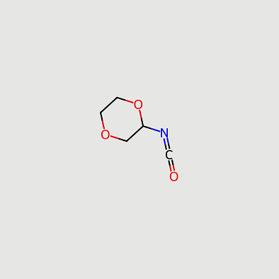 O=C=NC1COCCO1